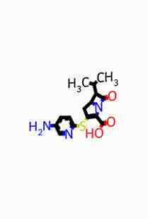 CC(C)C1C(=O)N2C(C(=O)O)=C(Sc3ccc(N)cn3)CC12